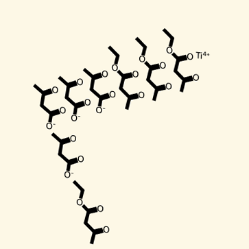 CC(=O)CC(=O)[O-].CC(=O)CC(=O)[O-].CC(=O)CC(=O)[O-].CC(=O)CC(=O)[O-].CCOC(=O)CC(C)=O.CCOC(=O)CC(C)=O.CCOC(=O)CC(C)=O.CCOC(=O)CC(C)=O.[Ti+4]